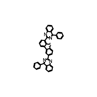 c1ccc(-c2nc(-c3ccc4sc5c(-c6nc(-c7ccccc7)c7ccccc7n6)cccc5c4c3)nc3ccccc23)cc1